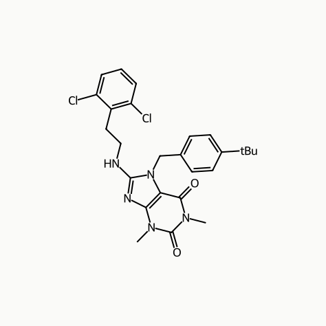 Cn1c(=O)c2c(nc(NCCc3c(Cl)cccc3Cl)n2Cc2ccc(C(C)(C)C)cc2)n(C)c1=O